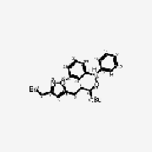 CC(C)(C)C(CCc1cc(CBr)no1)O[SiH](c1ccccc1)c1ccccc1